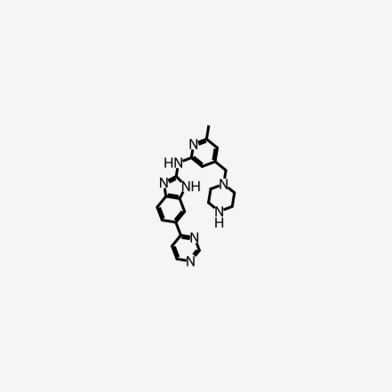 Cc1cc(CN2CCNCC2)cc(Nc2nc3ccc(-c4ccncn4)cc3[nH]2)n1